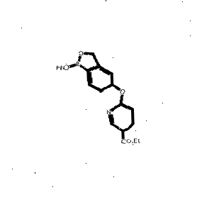 CCOC(=O)C1C=NC(OC2C=C3COB(O)C3=CC2)CC1